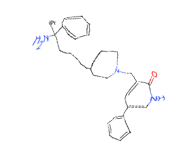 CC(C)C(N)(CCCC1CCN(Cc2cc(-c3ccccc3)c[nH]c2=O)CC1)c1ccccc1